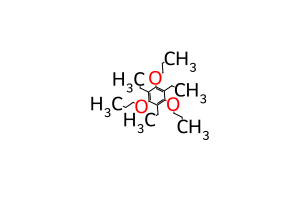 CCCOc1c(CC)c(OCCC)c(CC)c(OCCC)c1CC